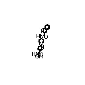 O=C(NO)c1ccc(N2CCC(NC(=O)c3cc4ccccc4cn3)CC2)nc1